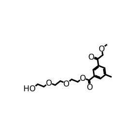 COCC(=O)c1cc(C)cc(C(=O)OCCOCCOCCO)c1